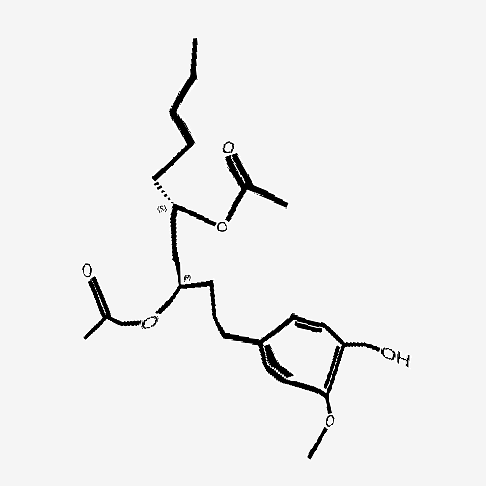 CCCCC[C@@H](C[C@@H](CCc1ccc(O)c(OC)c1)OC(C)=O)OC(C)=O